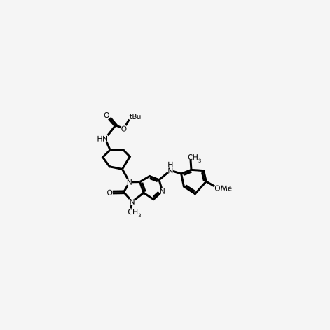 COc1ccc(Nc2cc3c(cn2)n(C)c(=O)n3C2CCC(NC(=O)OC(C)(C)C)CC2)c(C)c1